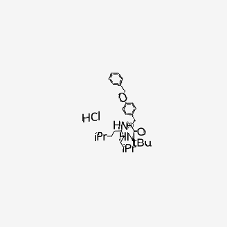 CC(C)CCC(CCC(C)C)N[C@@H](Cc1ccc(OCc2ccccc2)cc1)C(=O)NC(C)(C)C.Cl